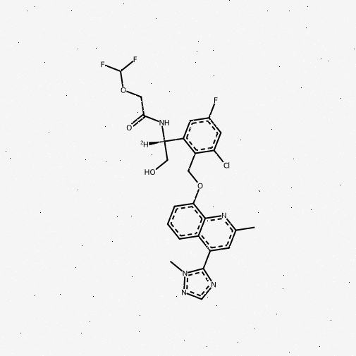 [2H][C@@](CO)(NC(=O)COC(F)F)c1cc(F)cc(Cl)c1COc1cccc2c(-c3ncnn3C)cc(C)nc12